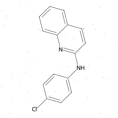 Clc1ccc(Nc2c[c]c3ccccc3n2)cc1